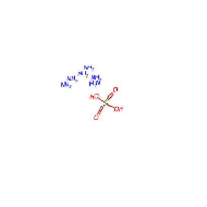 N.N.N.N.N.N.O=S(=O)(O)O